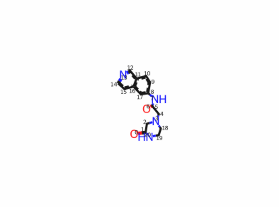 O=C1CN(CC(=O)Nc2ccc3cnccc3c2)CCN1